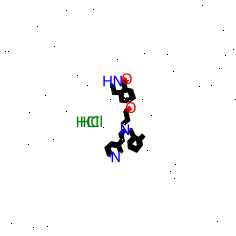 Cc1ccccc1CN(CCCOc1ccc2c(c1)CCNC2=O)CCc1cccnc1.Cl.Cl